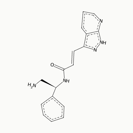 NC[C@@H](NC(=O)/C=C/c1n[nH]c2ncccc12)c1ccccc1